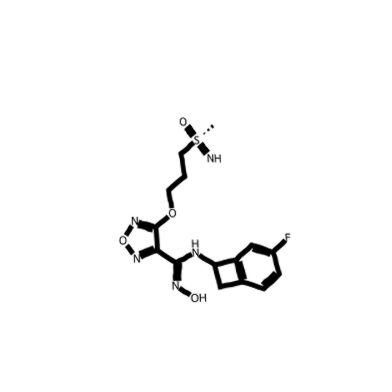 C[S@@](=N)(=O)CCCOc1nonc1/C(=N/O)NC1Cc2ccc(F)cc21